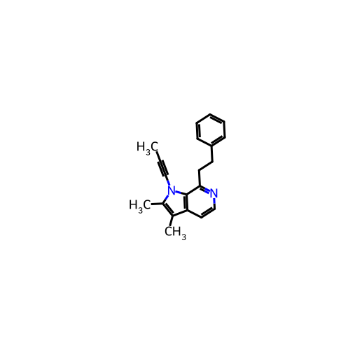 CC#Cn1c(C)c(C)c2ccnc(CCc3ccccc3)c21